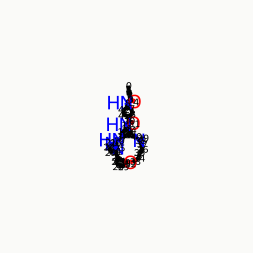 CC#CC(=O)NC1CCC(C(=O)Nc2cc3cc(c2)Nc2nccc(n2)-c2cccc(c2)OCC/C=C/CN(C)C3)CC1